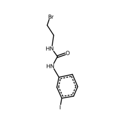 O=C(NCCBr)Nc1cccc(I)c1